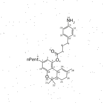 CCCCCc1cc(OC(=O)CCCc2ccc(N)cc2)c2c(c1)OC(C)(C)C1CCC(C)=CC21